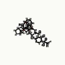 CNS(=O)(=O)c1ccc(Cl)c(C(=O)N2CCC(CCN3C4CCC3CC(n3c(C)nc5ccccc53)C4)(c3cccc(F)c3)CC2)c1Cl